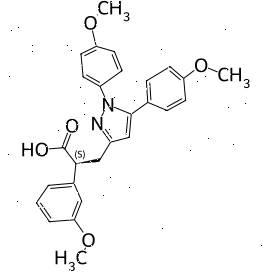 COc1ccc(-c2cc(C[C@H](C(=O)O)c3cccc(OC)c3)nn2-c2ccc(OC)cc2)cc1